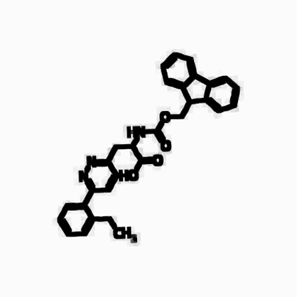 CCc1ccccc1-c1ccc(CC(NC(=O)OCC2c3ccccc3-c3ccccc32)C(=O)O)nn1